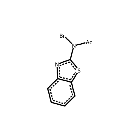 CC(=O)N(Br)c1nc2ccccc2s1